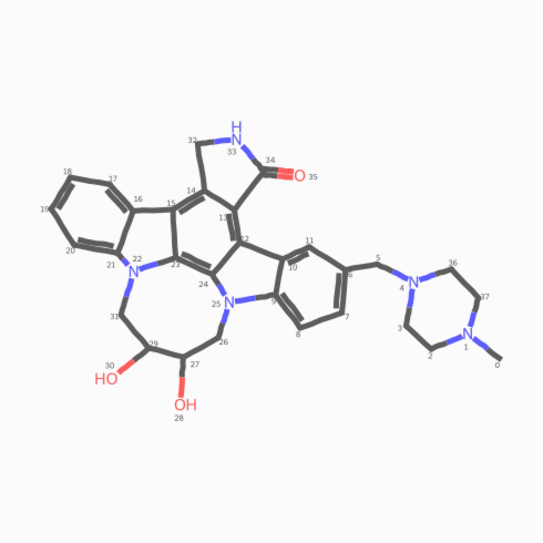 CN1CCN(Cc2ccc3c(c2)c2c4c(c5c6ccccc6n6c5c2n3CC(O)C(O)C6)CNC4=O)CC1